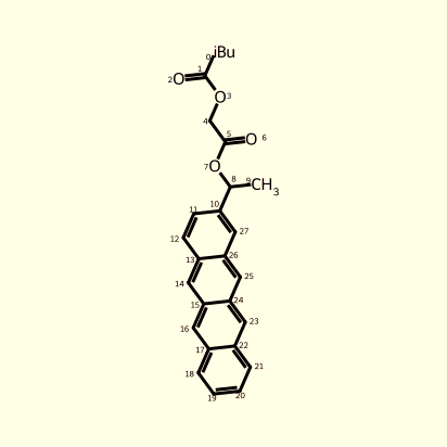 CCC(C)C(=O)OCC(=O)OC(C)c1ccc2cc3cc4ccccc4cc3cc2c1